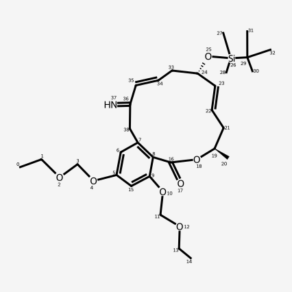 CCOCOc1cc2c(c(OCOCC)c1)C(=O)O[C@H](C)C/C=C/[C@@H](O[Si](C)(C)C(C)(C)C)C/C=C/C(=N)C2